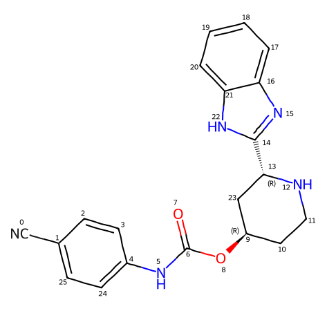 N#Cc1ccc(NC(=O)O[C@@H]2CCN[C@@H](c3nc4ccccc4[nH]3)C2)cc1